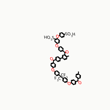 Cc1ccc(C(=O)c2ccc(Oc3ccc(C(c4ccc(Oc5ccc(C(=O)c6ccc(-c7ccc(C)c(C(=O)c8ccc(Oc9ccc(Oc%10ccc(S(=O)(=O)O)cc%10)c(S(=O)(=O)O)c9)cc8)c7)cc6)cc5)cc4)(C(F)(F)F)C(F)(F)F)cc3)cc2)cc1